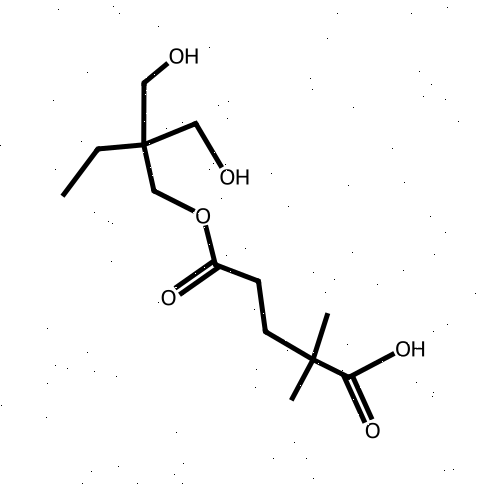 CCC(CO)(CO)COC(=O)CCC(C)(C)C(=O)O